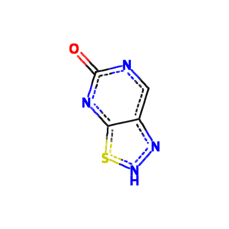 O=c1ncc2n[nH]sc-2n1